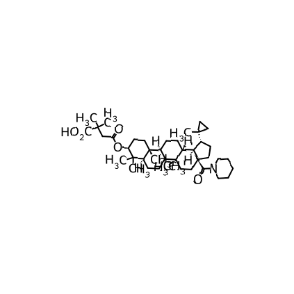 CC(C)(CC(=O)O[C@H]1CC[C@]2(C)[C@H]3CC[C@@H]4[C@H]5[C@H](C6(C)CC6)CC[C@]5(C(=O)N5CCCCC5)CC[C@@]4(C)[C@]3(C)CC[C@H]2C1(C)C)C(=O)O